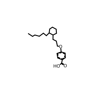 CCCCCCC1CCCCC1CCCOc1ccc(C(=O)O)cc1